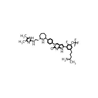 Cc1nc(NCC[C@@H]2CCCC[C@@H](c3ccc(-n4cc5cc(-c6cc(CCC[C@H](C)N)cc(OC(F)(F)F)c6F)[nH]c5nc4=O)cc3)N2)[nH]c1C